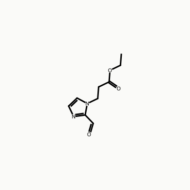 CCOC(=O)CCn1ccnc1C=O